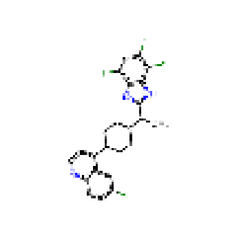 COC(c1nc2c(F)cc(F)c(F)c2[nH]1)C1CCC(c2ccnc3ccc(F)cc23)CC1